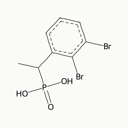 CC(c1cccc(Br)c1Br)P(=O)(O)O